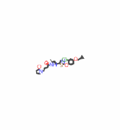 C[C@@H](/C=C/c1cnc(Oc2ccc(OCC3CC3)cc2Cl)s1)NC(=O)CCCN1CCCC1=O